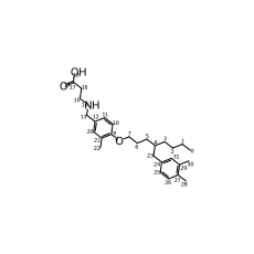 CCCCC(CCCOc1ccc(CNCCC(=O)O)cc1C)Cc1ccc(C)c(C)c1